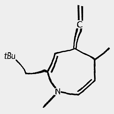 C=C=C1C=C(CC(C)(C)C)N(C)C=CC1C